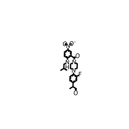 CC(C)CNc1ccc([N+](=O)[O-])cc1C(=O)N1CCN(c2ccc(C(C)C=O)cc2F)CC1